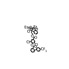 CCNC(=O)C(CCOC(=O)c1cc(Cl)c(OC(=O)c2ccccc2-c2ccc(C(F)(F)F)cc2)c(Cl)c1)(C(=O)NCC)c1ccccc1